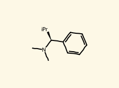 CC(C)[C@@H](c1ccccc1)N(C)C